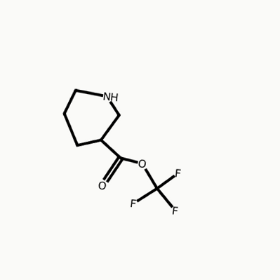 O=C(OC(F)(F)F)C1CCCNC1